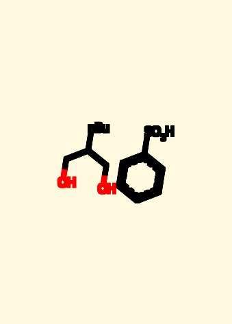 CCCCC(CO)CO.O=S(=O)(O)c1ccccc1